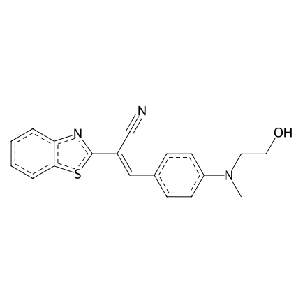 CN(CCO)c1ccc(/C=C(\C#N)c2nc3ccccc3s2)cc1